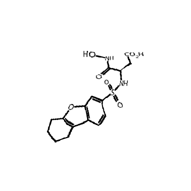 O=C(O)C[C@@H](NS(=O)(=O)c1ccc2c3c(oc2c1)CCCC3)C(=O)NO